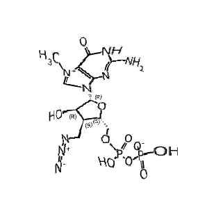 C[n+]1cn([C@@H]2O[C@H](COP(=O)(O)OP(=O)([O-])O)[C@@H](CN=[N+]=[N-])[C@H]2O)c2nc(N)[nH]c(=O)c21